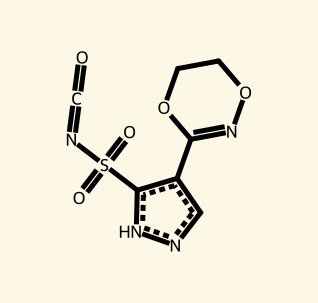 O=C=NS(=O)(=O)c1[nH]ncc1C1=NOCCO1